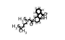 CN(C)CCCN(C)CC(=O)N1CCc2[nH]c(=O)c3ccccc3c2C1